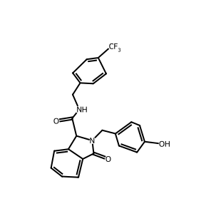 O=C(NCc1ccc(C(F)(F)F)cc1)C1c2ccccc2C(=O)N1Cc1ccc(O)cc1